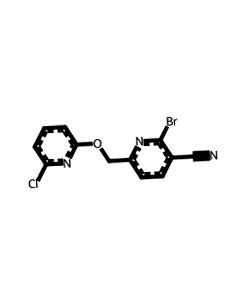 N#Cc1ccc(COc2cccc(Cl)n2)nc1Br